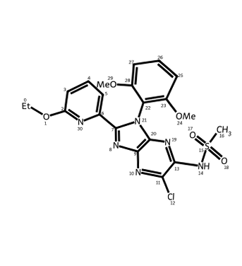 CCOc1cccc(-c2nc3nc(Cl)c(NS(C)(=O)=O)nc3n2-c2c(OC)cccc2OC)n1